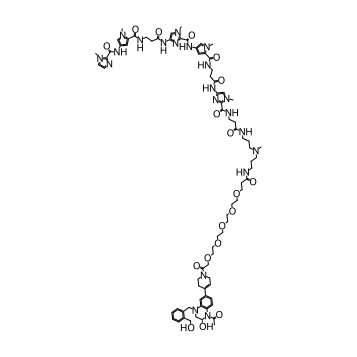 CC(=O)N1c2ccc(C3=CCN(C(=O)COCCOCCOCCOCCOCCC(=O)NCCCN(C)CCCNC(=O)CCNC(=O)c4nc(NC(=O)CCNC(=O)c5cc(NC(=O)c6nc(NC(=O)CCNC(=O)c7cc(NC(=O)c8nccn8C)cn7C)cn6C)cn5C)cn4C)CC3)cc2N(Cc2ccccc2CO)C[C@@H]1O